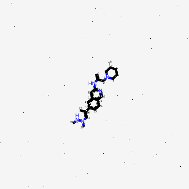 C=C(CN1CCC[C@@H](C)C1)Nc1cc2cc(/C(C)=C/N(C)NC)ccc2cn1